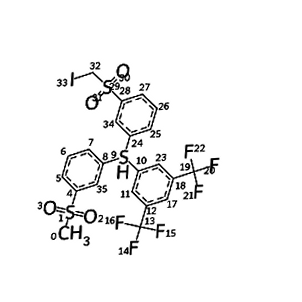 CS(=O)(=O)c1cccc([SH](c2cc(C(F)(F)F)cc(C(F)(F)F)c2)c2cccc(S(=O)(=O)CI)c2)c1